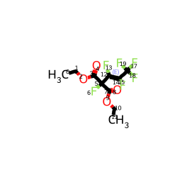 CCOC(=O)C(F)(C(=O)OCC)/C(F)=C(\F)C(F)(F)F